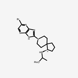 COC(C)N[C@@H]1CCCC12CCN(c1nc3nc(Br)cnc3[nH]1)CC2